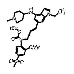 COc1cc(S(C)(=O)=O)ccc1N(C/C=C/c1cc(NC2CCN(C)CC2)c2ccn(CC(F)(F)F)c2c1)C(=O)OC(C)(C)C